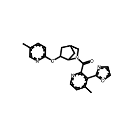 Cc1ccc(OC2CC3CC2N(C(=O)c2nccc(C)c2-c2ncco2)C3)nc1